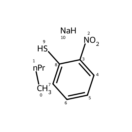 CCCC.O=[N+]([O-])c1ccccc1S.[NaH]